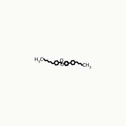 CCCCCCCC1CCC(C(=O)Oc2ccc(C3CCC(CCCCC)CC3)cc2)CC1